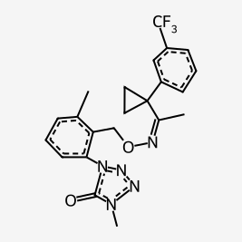 C/C(=N/OCc1c(C)cccc1-n1nnn(C)c1=O)C1(c2cccc(C(F)(F)F)c2)CC1